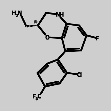 NC[C@@H]1CNc2cc(F)cc(-c3ccc(C(F)(F)F)cc3Cl)c2O1